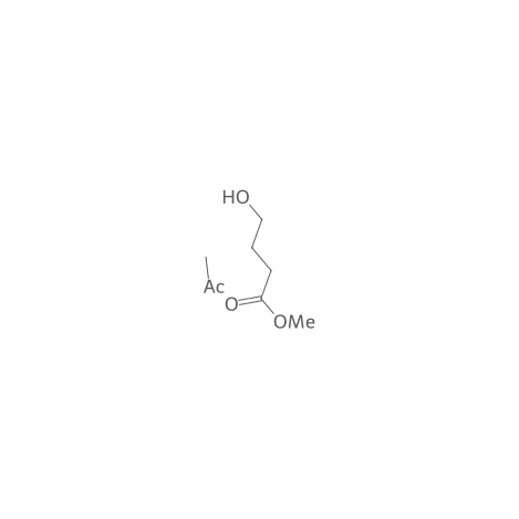 CC(C)=O.COC(=O)CCCO